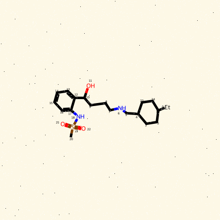 CCC1CCC(CNCCCC(O)c2ccccc2NS(C)(=O)=O)CC1